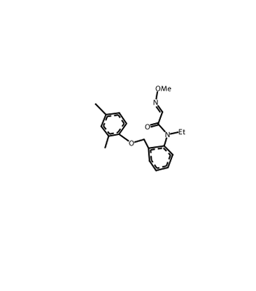 CCN(C(=O)C=NOC)c1ccccc1COc1ccc(C)cc1C